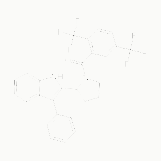 O=C(c1cc(C(F)(F)F)ccc1C(F)(F)F)N1CCCC1c1[nH]c2ccccc2c1-c1ccccc1